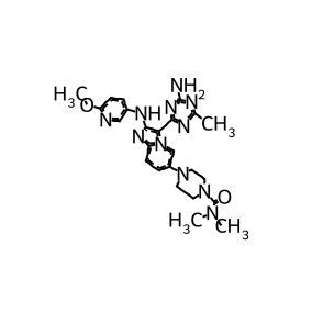 COc1ccc(Nc2nc3ccc(N4CCN(C(=O)N(C)C)CC4)cn3c2-c2nc(C)nc(N)n2)cn1